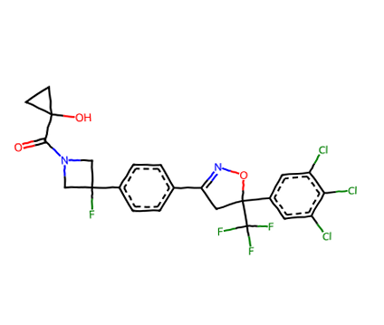 O=C(N1CC(F)(c2ccc(C3=NOC(c4cc(Cl)c(Cl)c(Cl)c4)(C(F)(F)F)C3)cc2)C1)C1(O)CC1